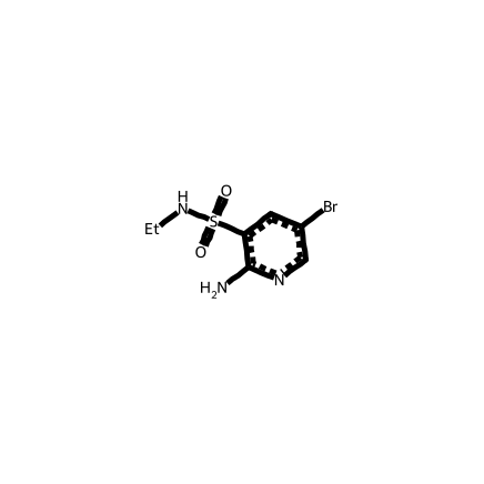 CCNS(=O)(=O)c1cc(Br)cnc1N